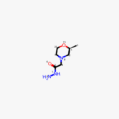 C[C@H]1CN(CC(=O)NN)CCO1